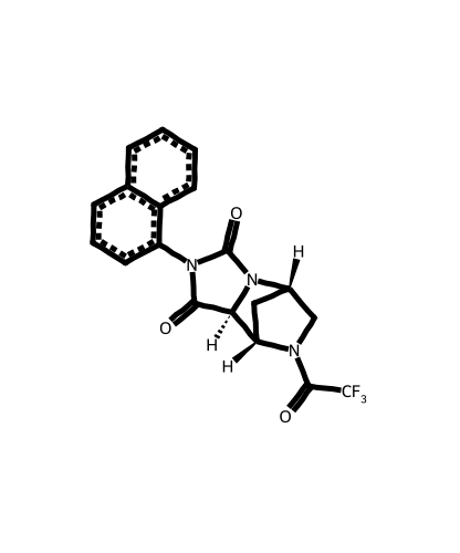 O=C1[C@@H]2[C@@H]3C[C@@H](CN3C(=O)C(F)(F)F)N2C(=O)N1c1cccc2ccccc12